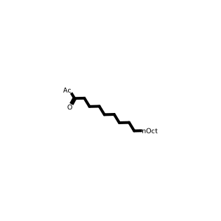 CCCCCCCCCCCCCCCCC(=O)C(C)=O